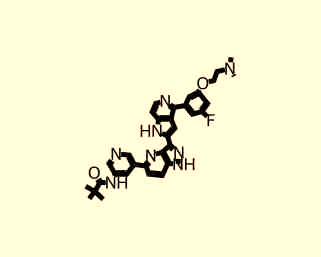 CN(C)CCOc1cc(F)cc(-c2nccc3[nH]c(-c4n[nH]c5ccc(-c6cncc(NC(=O)C(C)(C)C)c6)nc45)cc23)c1